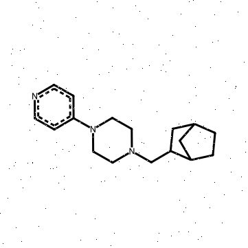 c1cc(N2CCN(CC3CC4CCC3C4)CC2)ccn1